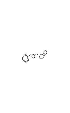 c1ccc(COCC2CCC3OC23)cc1